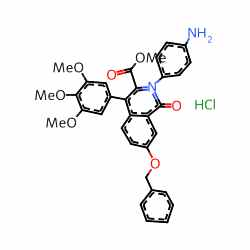 COC(=O)c1c(-c2cc(OC)c(OC)c(OC)c2)c2ccc(OCc3ccccc3)cc2c(=O)n1-c1ccc(N)cc1.Cl